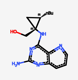 CCCC[C@H]1C[C@@]1(CO)Nc1nc(N)nc2cccnc12